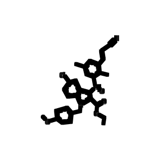 CCOC(=O)c1c([PH](=O)c2cc(C)cc(/C=C/C#N)c2C)c2cc(Cl)ccc2n1Cc1ccc(OC)cc1